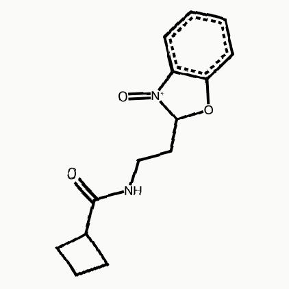 O=C(NCCC1Oc2ccccc2[N+]1=O)C1CCC1